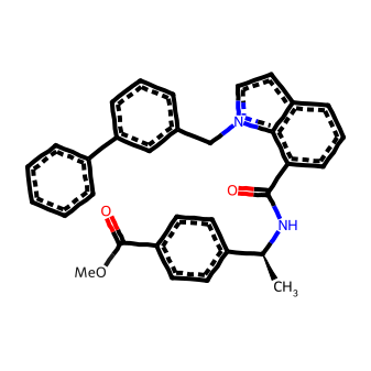 COC(=O)c1ccc([C@H](C)NC(=O)c2cccc3ccn(Cc4cccc(-c5ccccc5)c4)c23)cc1